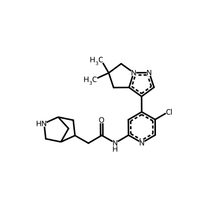 CC1(C)Cc2c(-c3cc(NC(=O)CC4CC5CC4CN5)ncc3Cl)cnn2C1